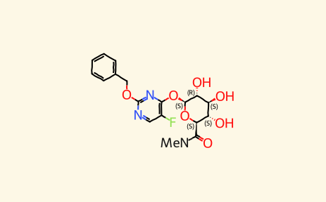 CNC(=O)[C@H]1O[C@@H](Oc2nc(OCc3ccccc3)ncc2F)[C@H](O)[C@@H](O)[C@@H]1O